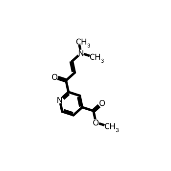 COC(=O)c1ccnc(C(=O)/C=C/N(C)C)c1